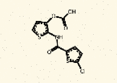 O=C(O)Oc1ccsc1NC(=O)c1ccc(Cl)s1